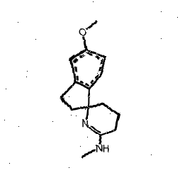 CNC1=NC2(CCC1)CCc1cc(OC)ccc12